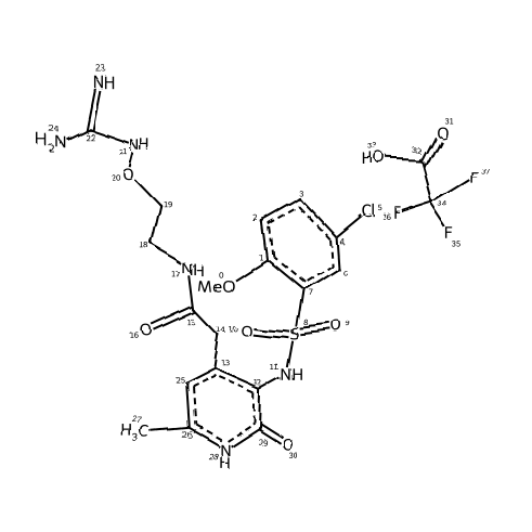 COc1ccc(Cl)cc1S(=O)(=O)Nc1c(CC(=O)NCCONC(=N)N)cc(C)[nH]c1=O.O=C(O)C(F)(F)F